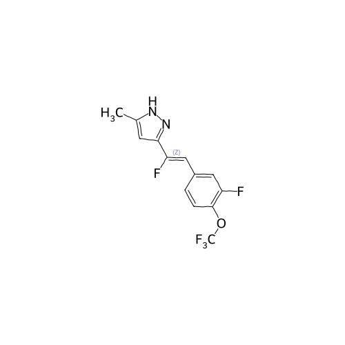 Cc1cc(/C(F)=C/c2ccc(OC(F)(F)F)c(F)c2)n[nH]1